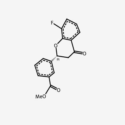 COC(=O)c1cccc([C@H]2CC(=O)c3cccc(F)c3O2)c1